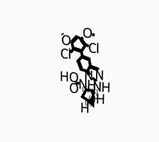 COc1cc(OC)c(Cl)c(-c2ccc3nc(N[C@H]4[C@H]5C[C@@H]5C[C@@H]4NC(=O)O)ncc3c2)c1Cl